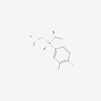 CCOC(=O)[C@@H](C(C)CC)[C@@](C)(N[S@@+]([O-])C(C)(C)C)c1ccc(Br)c(Cl)c1